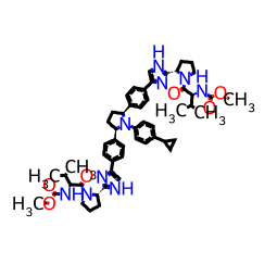 COC(=O)N[C@H](C(=O)N1CCC[C@H]1c1nc(-c2ccc([C@H]3CC[C@@H](c4ccc(-c5c[nH]c([C@@H]6CCCN6C(=O)[C@@H](NC(=O)OC)C(C)C)n5)cc4)N3c3ccc(C4CC4)cc3)cc2)c[nH]1)C(C)C